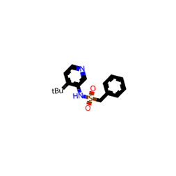 CC(C)(C)c1ccncc1NS(=O)(=O)Cc1ccccc1